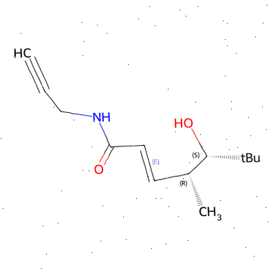 C#CCNC(=O)/C=C/[C@@H](C)[C@H](O)C(C)(C)C